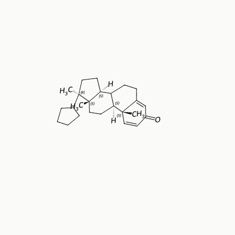 C[C@]12C=CC(=O)C=C1CCC1[C@@H]2CC[C@@]2(C)[C@H]1CC[C@]2(C)C1CCCC1